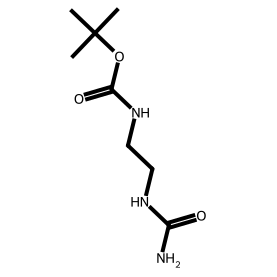 CC(C)(C)OC(=O)NCCNC(N)=O